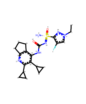 CCn1cc(F)c([S@](N)(=O)=NC(=O)Nc2c3c(nc(C4CC4)c2C2CC2)CCC3)n1